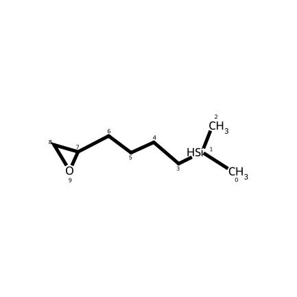 C[SiH](C)CCCCC1CO1